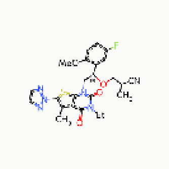 CCn1c(=O)c2c(C)c(-n3nccn3)sc2n(C[C@H](OCC(C)C#N)c2cc(F)ccc2OC)c1=O